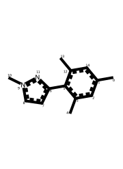 Cc1cc(C)c(-c2ccn(C)n2)c(C)c1